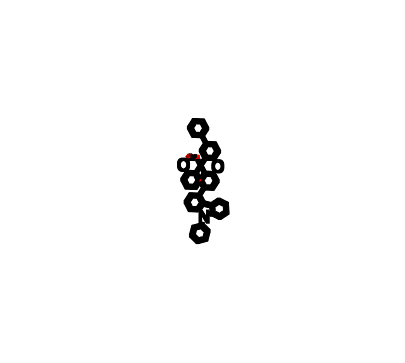 c1ccc(-c2ccc3c(c2)C2(c4ccccc4Oc4ccccc42)c2cc(-c4cccc5c4c4ccccc4n5-c4ccccc4)ccc2O3)cc1